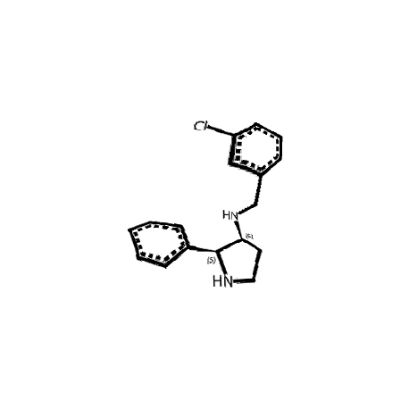 Clc1cccc(CN[C@H]2CCN[C@H]2c2ccccc2)c1